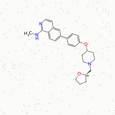 CNc1nccc2cc(-c3ccc(OC4CCN(C[C@H]5CCCO5)CC4)cc3)ccc12